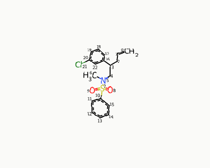 C=CCC(CN(C)S(=O)(=O)c1ccccc1)c1cccc(Cl)c1